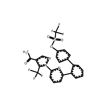 CC(=O)c1cnn(-c2cccc(-c3ccccc3-c3ccc(OS(=O)(=O)C(F)(F)F)cc3)n2)c1C(F)(F)F